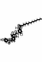 CCCCCCCCCCCCCCCCS(=O)(=O)Nc1ccc(Cl)c(NC(=O)C(Oc2ccc(NS(=O)(=O)c3ccc(O)cc3)cc2)C(=O)C(C)(C)C)c1